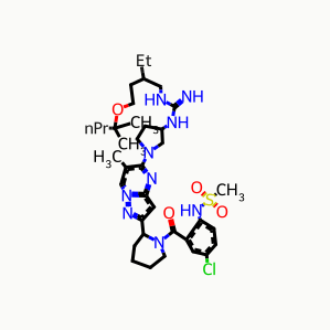 CCCC(C)(C)OCCC(CC)CNC(=N)NC1CCN(c2nc3cc(C4CCCCN4C(=O)c4cc(Cl)ccc4NS(C)(=O)=O)nn3cc2C)C1